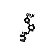 CC(C)(C)OC(=O)NCc1cc(-n2ccc(C(=O)O)c2)ncn1